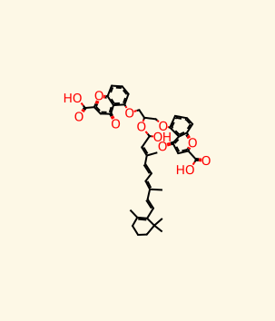 CC1=C(/C=C/C(C)=C/C=C/C(C)=C/C(O)OC(COc2cccc3oc(C(=O)O)cc(=O)c23)COc2cccc3oc(C(=O)O)cc(=O)c23)C(C)(C)CCC1